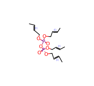 C/C=C/COP(=O)(OC/C=C/C)OP(=O)(OC/C=C/C)OC/C=C/C